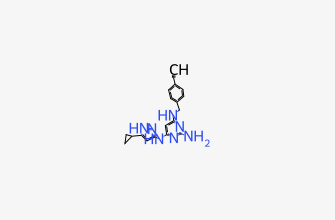 C#Cc1ccc(CNc2cc(Nc3cc(C4CC4)[nH]n3)nc(N)n2)cc1